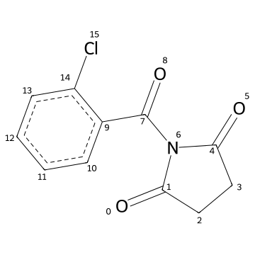 O=C1CCC(=O)N1C(=O)c1ccccc1Cl